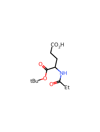 CCC(=O)NC(CCC(=O)O)C(=O)OC(C)(C)C